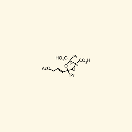 CC(=O)OCC=CC1(C(C)C)O[C@H](C(=O)O)[C@](C(=O)O)(C(C)C)O1